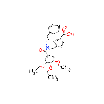 CCOc1cc(C(=O)N(CCCc2ccccc2)Cc2ccc(C(=O)O)cc2)cc(OCC)c1OCC